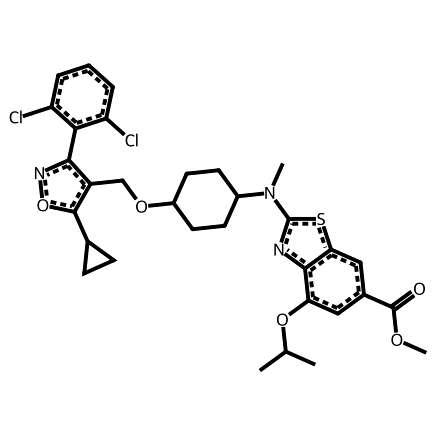 COC(=O)c1cc(OC(C)C)c2nc(N(C)C3CCC(OCc4c(-c5c(Cl)cccc5Cl)noc4C4CC4)CC3)sc2c1